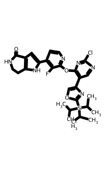 CC(C)[Si](c1nc(-c2cnc(Cl)nc2Oc2nccc(-c3cc4c([nH]3)CCNC4=O)c2F)co1)(C(C)C)C(C)C